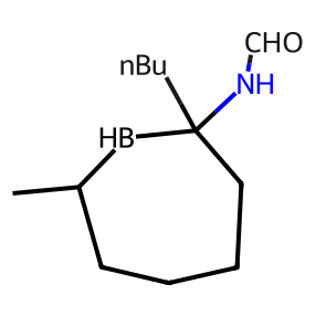 CCCCC1(NC=O)BC(C)CCCC1